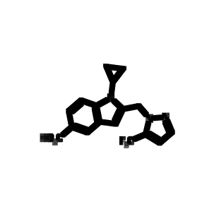 O=C(O)c1ccc2c(c1)cc(Cn1nccc1C(F)(F)F)n2C1CC1